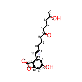 CC(O)CCCC(=O)CCC/C=C/c1cc(O)cc2c1C(=O)O2